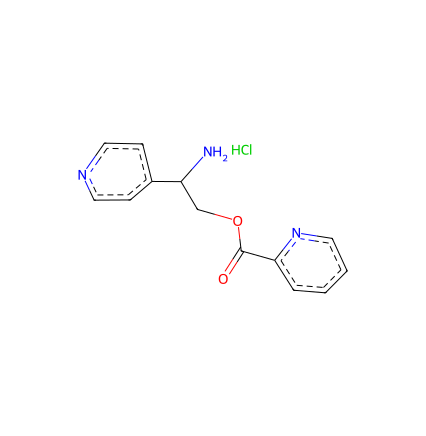 Cl.NC(COC(=O)c1ccccn1)c1ccncc1